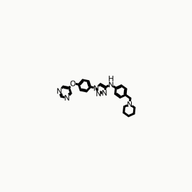 c1ncc(Oc2ccc(-n3cc(Nc4ccc(CN5CCCCC5)cc4)nn3)cc2)cn1